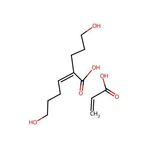 C=CC(=O)O.O=C(O)C(=CCCCO)CCCO